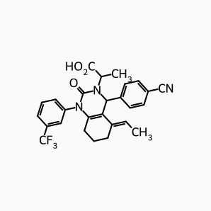 CC=C1CCCC2=C1C(c1ccc(C#N)cc1)N(C(C)C(=O)O)C(=O)N2c1cccc(C(F)(F)F)c1